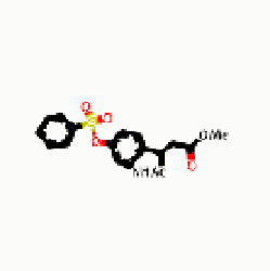 COC(=O)CC(NC(C)=O)c1ccc(OS(=O)(=O)c2ccccc2)cc1